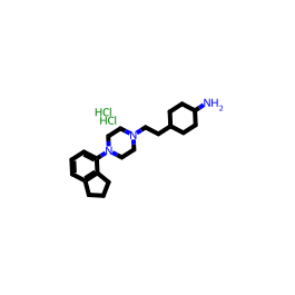 Cl.Cl.NC1CCC(CCN2CCN(c3cccc4c3CCC4)CC2)CC1